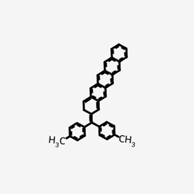 Cc1ccc(C(=C2C=c3cc4cc5cc6ccccc6cc5cc4cc3=CC2)c2ccc(C)cc2)cc1